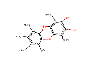 CCCCCCCCc1c(CCCCCCCC)c(CCCCCCCC)c2c(c1CCCCCCCC)Oc1c(CCCCCCCC)c(O)c(O)c(CCCCCCCC)c1O2